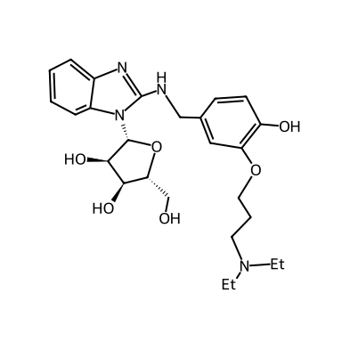 CCN(CC)CCCOc1cc(CNc2nc3ccccc3n2[C@@H]2O[C@H](CO)[C@@H](O)[C@H]2O)ccc1O